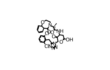 C[C@@H](C(=O)NC(CC(=O)O)C(=O)Cn1nnnc1Cc1c(Cl)cccc1Cl)N1CCOC2C=CC=CC2C1=O